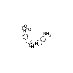 Nc1ccc2c(c1)CN(c1ncc(Cc3ccc(N4CCOC4=O)cc3)s1)CC2